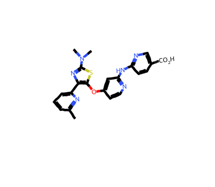 Cc1cccc(-c2nc(N(C)C)sc2Oc2ccnc(Nc3ccc(C(=O)O)cn3)c2)n1